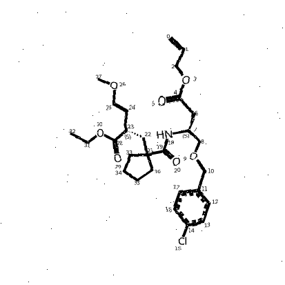 C=CCOC(=O)C[C@@H](COCc1ccc(Cl)cc1)NC(=O)C1(C[C@@H](CCOC)C(=O)OCC)CCCC1